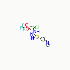 O=C(Oc1ccc(Cl)c(Nc2ncnc3cc(-c4ccc(CN5CCCC5)cc4)sc23)c1)C(F)(F)F